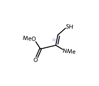 CN/C(=C\S)C(=O)OC